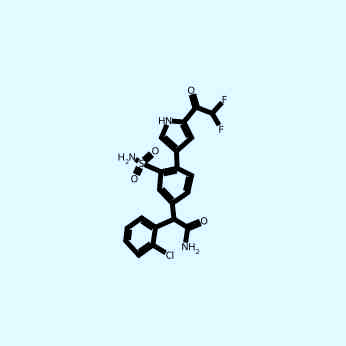 NC(=O)C(c1ccc(-c2c[nH]c(C(=O)C(F)F)c2)c(S(N)(=O)=O)c1)c1ccccc1Cl